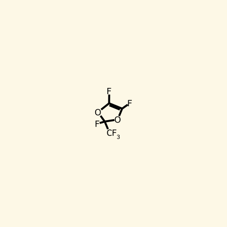 FC1=C(F)OC(F)(C(F)(F)F)O1